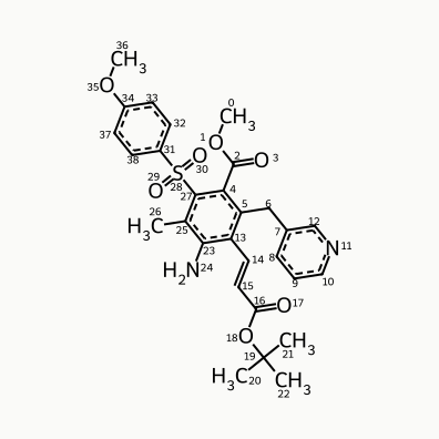 COC(=O)c1c(Cc2cccnc2)c(C=CC(=O)OC(C)(C)C)c(N)c(C)c1S(=O)(=O)c1ccc(OC)cc1